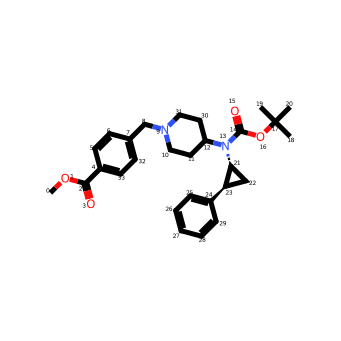 COC(=O)c1ccc(CN2CCC(N(C(=O)OC(C)(C)C)[C@@H]3C[C@H]3c3ccccc3)CC2)cc1